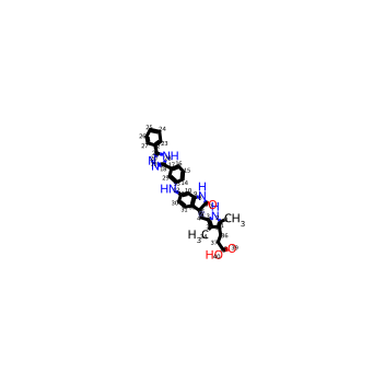 Cc1[nH]c(/C=C2\C(=O)Nc3cc(Nc4cccc(-c5nnc(-c6ccccc6)[nH]5)c4)ccc32)c(C)c1CCC(=O)O